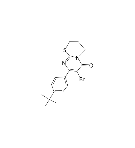 CC(C)(C)c1ccc(-c2nc3n(c(=O)c2Br)CCCS3)cc1